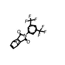 O=C1C2C3C=CC(O3)C2C(=O)N1c1cc(C(F)(F)F)cc(C(F)(F)F)c1